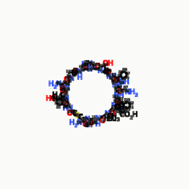 CCCC[C@H]1C(=O)N(C)[C@@H](CCCC)C(=O)N[C@@H](CC(C)C)C(=O)N[C@H](C(N)=O)CSCC(=O)N[C@@H](Cc2ccc(O)cc2)C(=O)N(C)[C@@H](C)C(=O)N[C@@H](CC(N)=O)C(=O)N2CCC[C@H]2C(=O)N[C@@H](CN)C(=O)N[C@@H](CC(C)C)C(=O)N2C[C@H](O)C[C@H]2C(=O)N[C@@H](Cc2c[nH]c3ccccc23)C(=O)N[C@@H](CCCN)C(=O)N[C@@H](Cc2cn(CC(=O)O)c3ccccc23)C(=O)N1C